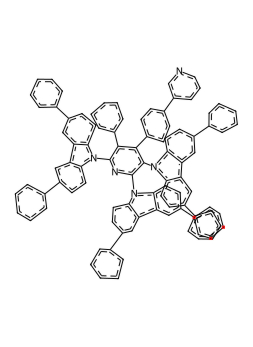 c1ccc(-c2ccc3c(c2)c2cc(-c4ccccc4)ccc2n3-c2nc(-n3c4ccc(-c5ccccc5)cc4c4cc(-c5ccccc5)ccc43)c(-n3c4ccc(-c5ccccc5)cc4c4cc(-c5ccccc5)ccc43)c(-c3ccc(-c4cccnc4)cc3)c2-c2ccccc2)cc1